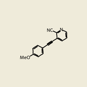 COc1ccc(C#Cc2cccnc2C#N)cc1